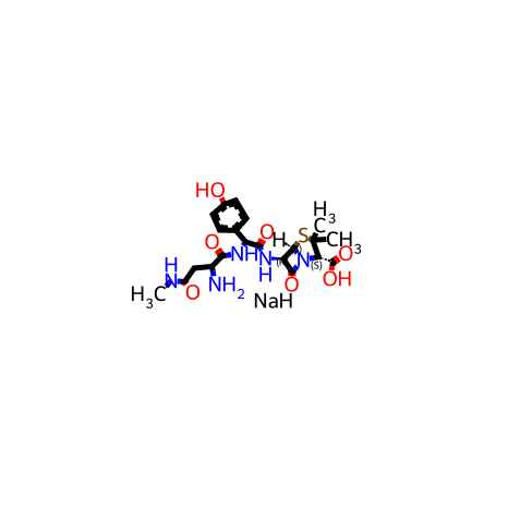 CNC(=O)CC(N)C(=O)NC(C(=O)N[C@@H]1C(=O)N2[C@@H]1SC(C)(C)[C@@H]2C(=O)O)c1ccc(O)cc1.[NaH]